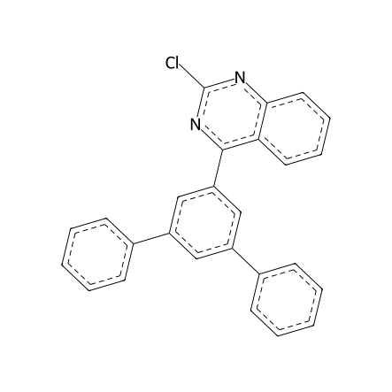 Clc1nc(-c2cc(-c3ccccc3)cc(-c3ccccc3)c2)c2ccccc2n1